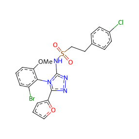 COc1cccc(Br)c1-n1c(NS(=O)(=O)CCc2ccc(Cl)cc2)nnc1-c1ccco1